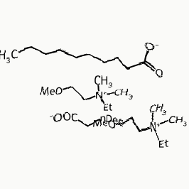 CCCCCCCCCC(=O)[O-].CCCCCCCCCCCC(=O)[O-].CC[N+](C)(C)CCOC.CC[N+](C)(C)CCOC